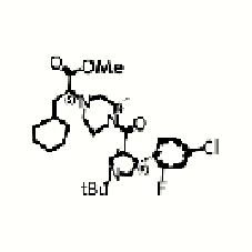 COC(=O)[C@H](CC1CCCCC1)N1CCN(C(=O)[C@@H]2CN(C(C)(C)C)C[C@H]2c2ccc(Cl)cc2F)[C@@H](C)C1